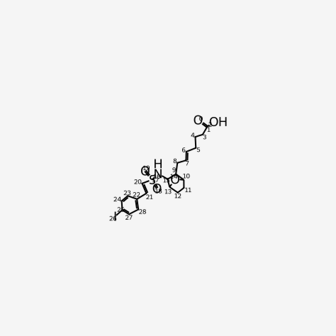 O=C(O)CCCC=CCC1C2CCC(O2)C1NS(=O)(=O)C=Cc1ccc(I)cc1